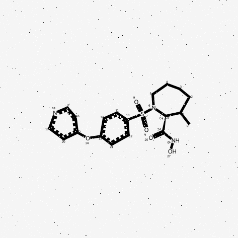 CC1CCCCN(S(=O)(=O)c2ccc(Oc3ccncc3)cc2)[C@@H]1C(=O)NO